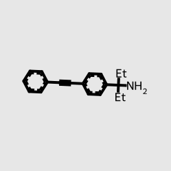 CCC(N)(CC)c1ccc(C#Cc2ccccc2)cc1